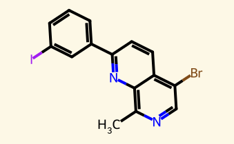 Cc1ncc(Br)c2ccc(-c3cccc(I)c3)nc12